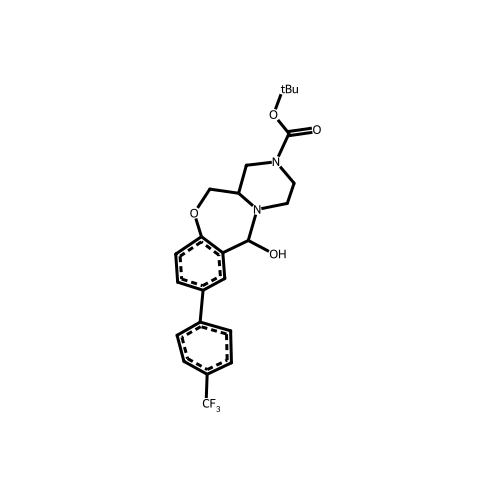 CC(C)(C)OC(=O)N1CCN2C(COc3ccc(-c4ccc(C(F)(F)F)cc4)cc3C2O)C1